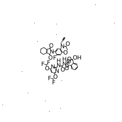 C#CCN1C(=O)COc2cc(F)c(N3C(=O)C4=C(CCCC4)C3=O)cc21.O=C(Nc1nc(OC(F)F)cc(OC(F)F)n1)NS(=O)(=O)c1ccccc1C(=O)O